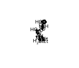 CC[N+](CC)(CC)N1C=Nc2c(ncn2[C@H]2CC(O)[C@@H](COS(=O)(=O)NC(=O)c3ccccc3O)O2)C1N